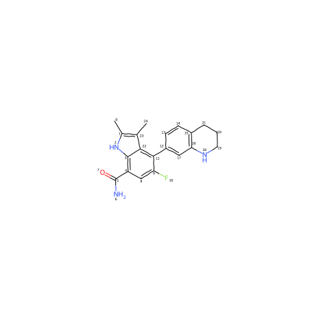 Cc1[nH]c2c(C(N)=O)cc(F)c(-c3ccc4c(c3)NCCC4)c2c1C